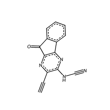 C#Cc1nc2c(nc1NC#N)-c1ccccc1C2=O